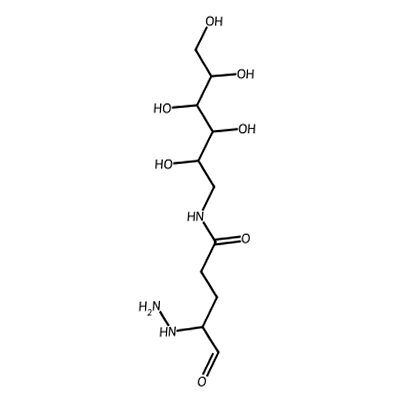 NNC(C=O)CCC(=O)NCC(O)C(O)C(O)C(O)CO